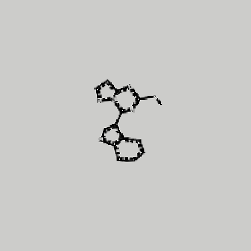 CSc1nc(-c2csc3ccccc23)n2nccc2n1